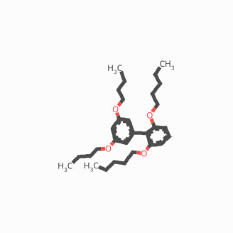 CCCCCOc1c[c]cc(OCCCCC)c1-c1cc(OCCCC)cc(OCCCC)c1